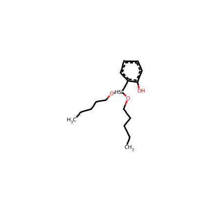 CCCCCO[SiH](OCCCCC)c1ccccc1O